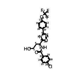 O=C(NC(CCO)c1nc(-c2ccc(OC(F)(F)F)cc2)no1)c1ccc(Cl)cc1